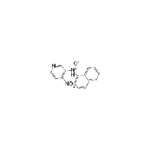 O=[N+]([O-])c1ccncc1[NH+]([O-])c1cccc2ccccc12